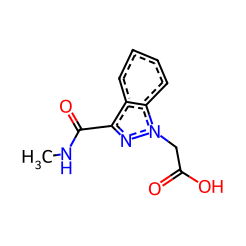 CNC(=O)c1nn(CC(=O)O)c2ccccc12